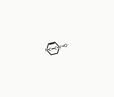 [O-][N+]12C=CN(CC1)CC2